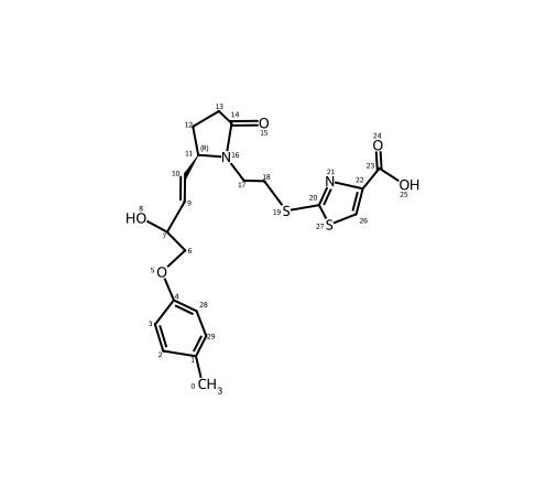 Cc1ccc(OCC(O)C=C[C@H]2CCC(=O)N2CCSc2nc(C(=O)O)cs2)cc1